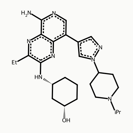 CCc1nc2c(N)ncc(-c3cnn(C4CCN(C(C)C)CC4)c3)c2nc1N[C@@H]1CCC[C@H](O)C1